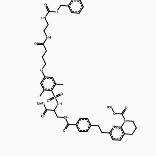 COC(=O)C(CNC(=O)c1ccc(CCc2ccc3c(n2)N(C(=O)OC(C)(C)C)CCC3)cc1)NS(=O)(=O)c1c(C)cc(OCCCC(=O)NCCNC(=O)OCc2ccccc2)cc1C